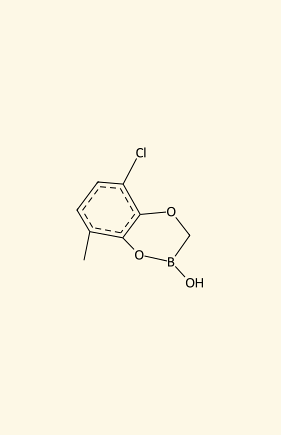 Cc1ccc(Cl)c2c1OB(O)CO2